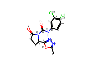 Cc1nnc(C2CCC(=O)N2C(=O)Nc2ccc(Cl)c(Cl)c2)o1